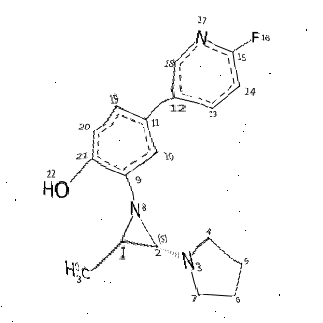 CC1[C@@H](N2CCCC2)N1c1cc(-c2ccc(F)nc2)ccc1O